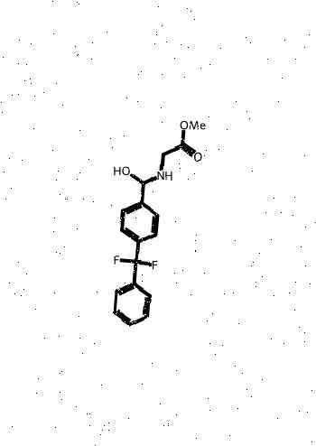 COC(=O)CNC(O)c1ccc(C(F)(F)c2ccccc2)cc1